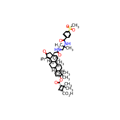 CC(C)C1=C2[C@H]3CC[C@@H]4[C@@]5(C)CC[C@H](OC(=O)[C@H]6C[C@@H](C(=O)O)C6(C)C)C(C)(C)[C@@H]5CC[C@@]4(C)[C@]3(C)CC[C@@]2(CC(=O)NCC(C)(C)NC(=O)c2ccc(S(C)(=O)=O)cc2)CC1=O